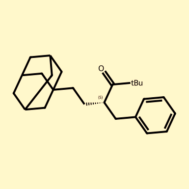 CC(C)(C)C(=O)[C@@H](CCC12CC3CC(CC(C3)C1)C2)Cc1ccccc1